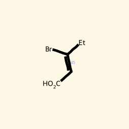 CC/C(Br)=C/C(=O)O